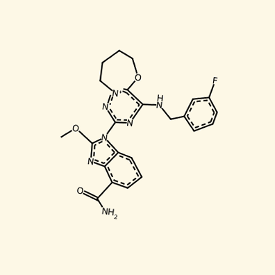 COc1nc2c(C(N)=O)cccc2n1-c1nc(NCc2cccc(F)c2)c2[n+](n1)CCCCO2